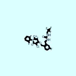 Cc1cc(OCc2ccc(F)cc2CNC(=O)NCC(F)(F)F)c(Cl)c(=O)n1-c1c(F)cccc1F